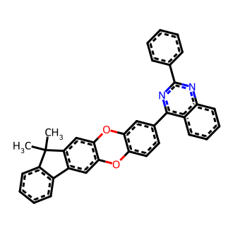 CC1(C)c2ccccc2-c2cc3c(cc21)Oc1cc(-c2nc(-c4ccccc4)nc4ccccc24)ccc1O3